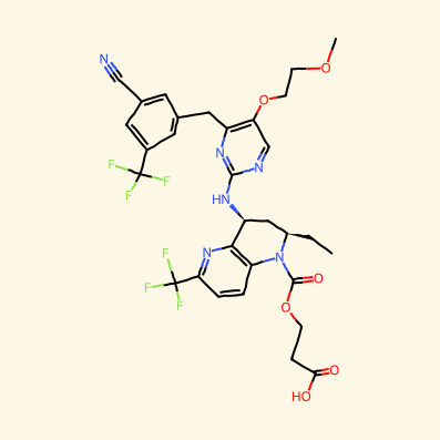 CC[C@@H]1C[C@H](Nc2ncc(OCCOC)c(Cc3cc(C#N)cc(C(F)(F)F)c3)n2)c2nc(C(F)(F)F)ccc2N1C(=O)OCCC(=O)O